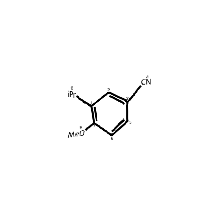 [CH2]C(C)c1cc(C#N)ccc1OC